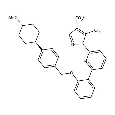 CO[C@H]1CC[C@H](c2ccc(COc3ccccc3-c3cccc(-n4ncc(C(=O)O)c4C(F)(F)F)n3)cc2)CC1